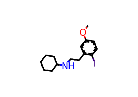 COc1ccc(I)c(CCNC2CCCCC2)c1